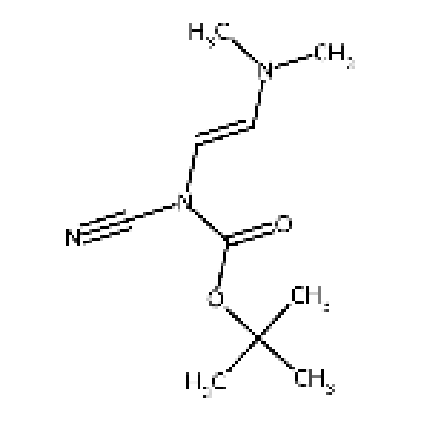 CN(C)C=CN(C#N)C(=O)OC(C)(C)C